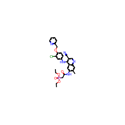 CCOP(=O)(CC(=O)Nc1cc2c(Nc3ccc(OCc4ccccn4)c(Cl)c3)c(C#N)cnc2cc1C)OCC